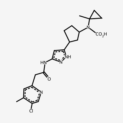 Cc1cc(CC(=O)Nc2cc(C3CCC(N(C(=O)O)C4(C)CC4)C3)[nH]n2)ncc1Cl